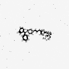 CCS(=O)(=O)Nc1nc(CCCN2CCN(C(c3ccccc3)c3ccccc3)CC2)cs1